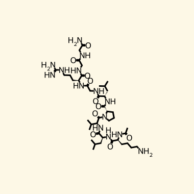 CC(=O)N[C@@H](CCCCN)C(=O)N[C@@H](CC(C)C)C(=O)N[C@H](C(=O)N1CCC[C@H]1C(=O)N[C@@H](CC(C)C)C(=O)NCC(=O)N[C@@H](CCCNC(=N)N)C(=O)NCC(=O)NCC(N)=O)C(C)C